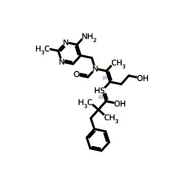 C/C(=C(CCO)/[SH]=C(\O)C(C)(C)Cc1ccccc1)N(C=O)Cc1cnc(C)nc1N